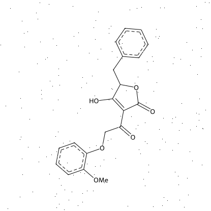 COc1ccccc1OCC(=O)C1=C(O)C(Cc2ccccc2)OC1=O